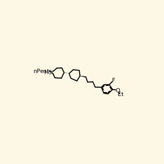 CCCCC[SiH]1CCC([C@H]2CC[C@H](CCCCc3ccc(OCC)c(F)c3)CC2)CC1